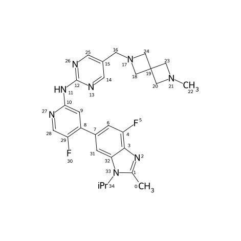 Cc1nc2c(F)cc(-c3cc(Nc4ncc(CN5CC6(CN(C)C6)C5)cn4)ncc3F)cc2n1C(C)C